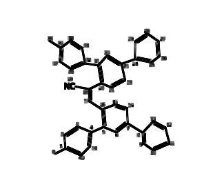 Cc1ccc(-c2cc(-c3ccccc3)ccc2C=C(C#N)c2ccc(-c3ccccc3)cc2-c2ccc(C)cc2)cc1